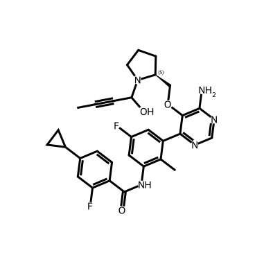 CC#CC(O)N1CCC[C@H]1COc1c(N)ncnc1-c1cc(F)cc(NC(=O)c2ccc(C3CC3)cc2F)c1C